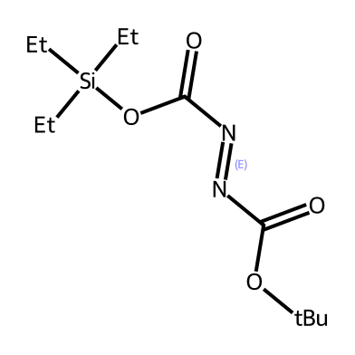 CC[Si](CC)(CC)OC(=O)/N=N/C(=O)OC(C)(C)C